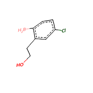 Bc1ccc(Cl)cc1CCO